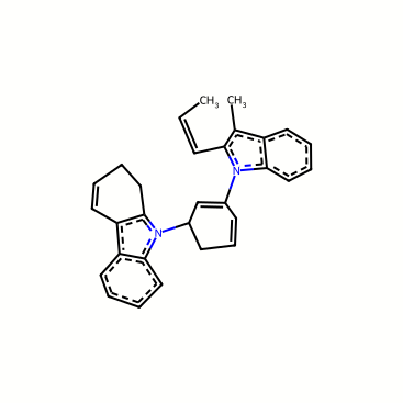 C/C=C\c1c(C)c2ccccc2n1C1=CC(n2c3c(c4ccccc42)C=CCC3)CC=C1